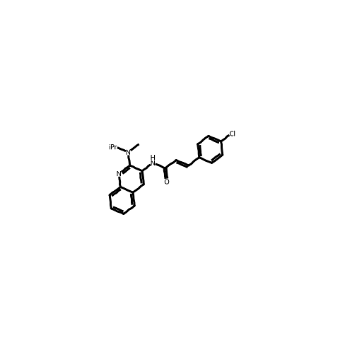 CC(C)N(C)c1nc2ccccc2cc1NC(=O)/C=C/c1ccc(Cl)cc1